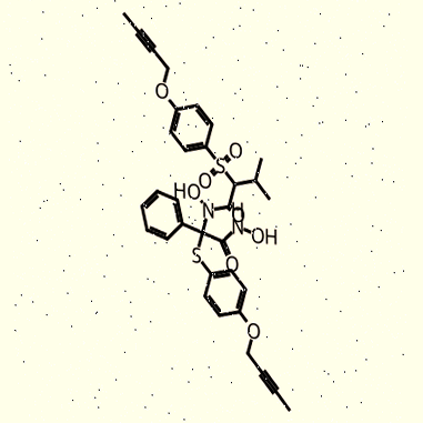 CC#CCOc1ccc(SC(C(=O)NO)(c2ccccc2)N(O)C(=O)C(C(C)C)S(=O)(=O)c2ccc(OCC#CC)cc2)cc1